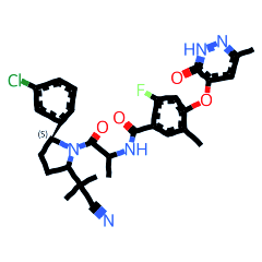 Cc1cc(Oc2cc(F)c(C(=O)NC(C)C(=O)N3C(C(C)(C)C#N)CC[C@H]3c3cccc(Cl)c3)cc2C)c(=O)[nH]n1